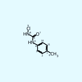 Cc1ccc(NC(=O)NCl)cc1